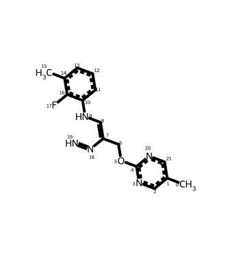 Cc1cnc(OC/C(=C/Nc2cccc(C)c2F)N=N)nc1